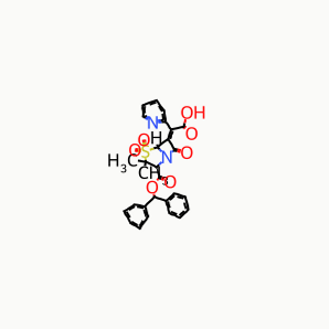 CC1(C)[C@H](C(=O)OC(c2ccccc2)c2ccccc2)N2C(=O)/C(=C(\C(=O)O)c3ccccn3)[C@H]2S1(=O)=O